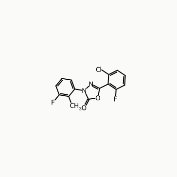 Cc1c(F)cccc1-n1nc(-c2c(F)cccc2Cl)oc1=O